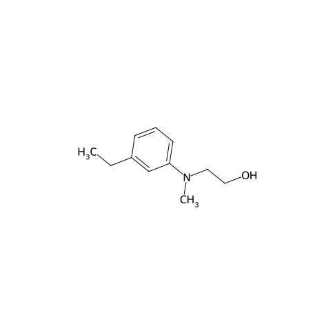 CCc1cccc(N(C)CCO)c1